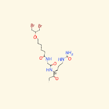 CCC(=O)[C@H](CCCNC(N)=O)NC(=O)CNC(=O)CCCCCOC(CBr)CBr